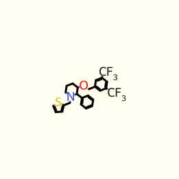 FC(F)(F)c1cc(COC2CCCN(Cc3cccs3)C2c2ccccc2)cc(C(F)(F)F)c1